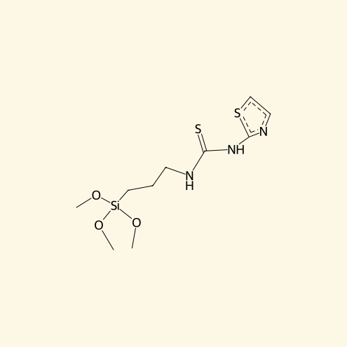 CO[Si](CCCNC(=S)Nc1nccs1)(OC)OC